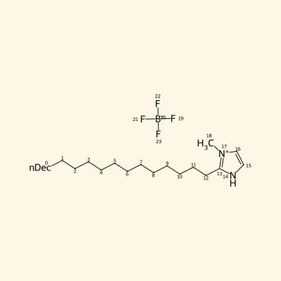 CCCCCCCCCCCCCCCCCCCCCCc1[nH]cc[n+]1C.F[B-](F)(F)F